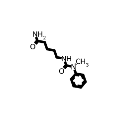 CN(C(=O)NCCCCC(N)=O)c1ccccc1